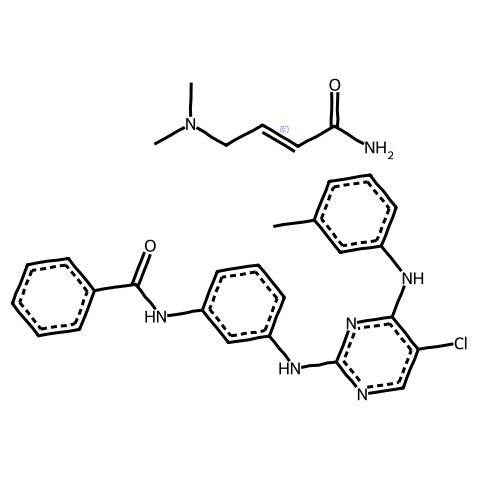 CN(C)C/C=C/C(N)=O.Cc1cccc(Nc2nc(Nc3cccc(NC(=O)c4ccccc4)c3)ncc2Cl)c1